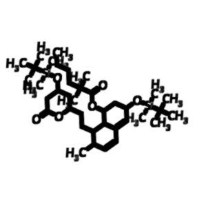 CCCCC(C)(C)C(=O)OC1CC(O[Si](C)(C)C(C)(C)C)C=C2C=CC(C)C(CCC3CC(O[Si](C)(C)C(C)(C)C)CC(=O)O3)C21